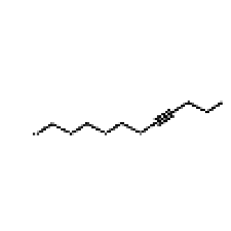 [CH2]CCCCCCC#CCCC